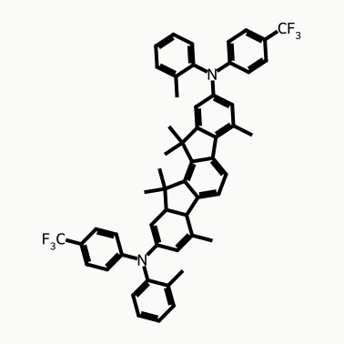 CC1=CC(N(c2ccc(C(F)(F)F)cc2)c2ccccc2C)=CC2C1c1ccc3c(c1C2(C)C)C(C)(C)c1cc(N(c2ccc(C(F)(F)F)cc2)c2ccccc2C)cc(C)c1-3